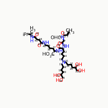 C/C=C\C(=O)N(C=O)CC(=O)NC(CCCCN(CCCCC(O)CO)CCCCC(O)CO)C(=O)N[C@@H](CCCCNC(=O)CCC(=O)NC(C)C(C)C)C(=O)O